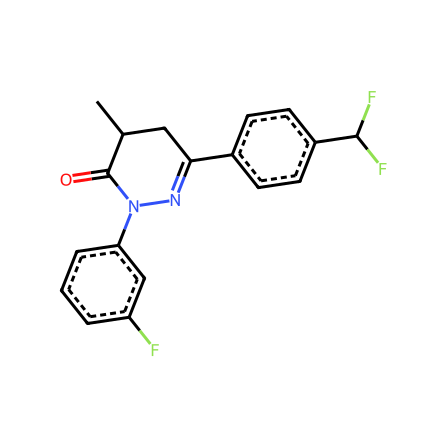 CC1CC(c2ccc(C(F)F)cc2)=NN(c2cccc(F)c2)C1=O